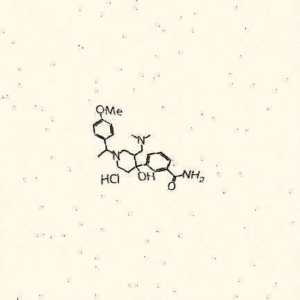 COc1ccc(C(C)N2CCC(O)(c3cccc(C(N)=O)c3)C(CN(C)C)C2)cc1.Cl